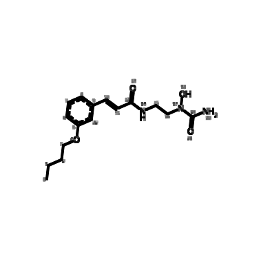 CCCCOc1cccc(C=CC(=O)NCCN(O)C(N)=O)c1